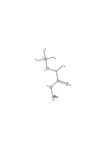 CC(O[Si](C)(C)C)C(=O)OC(C)(C)C